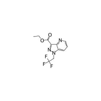 CCOC(=O)c1nn(CC(F)(F)F)c2cccnc12